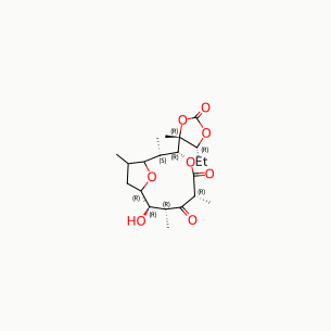 CC[C@H]1OC(=O)O[C@@]1(C)[C@@H]1OC(=O)[C@H](C)C(=O)[C@H](C)[C@@H](O)[C@@]2(C)CC(C)C(O2)[C@@H]1C